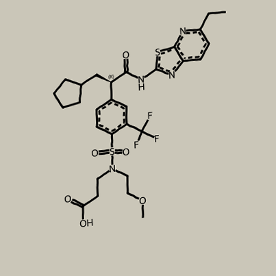 CCc1ccc2nc(NC(=O)[C@H](CC3CCCC3)c3ccc(S(=O)(=O)N(CCOC)CCC(=O)O)c(C(F)(F)F)c3)sc2n1